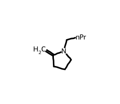 C=C1CCCN1CCCC